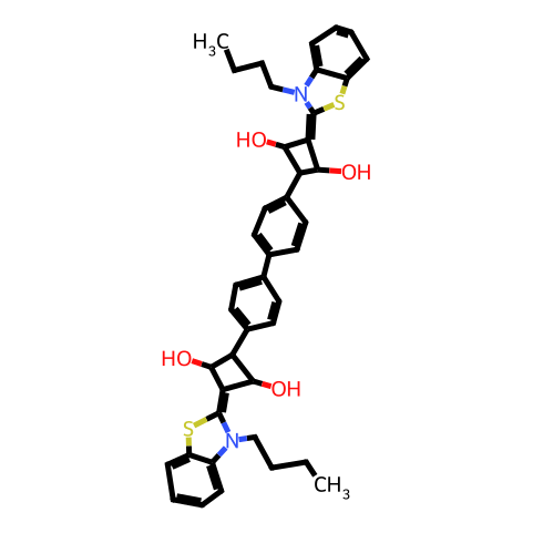 CCCCN1C(=C2C(O)C(c3ccc(-c4ccc(C5C(O)C(=C6Sc7ccccc7N6CCCC)C5O)cc4)cc3)C2O)Sc2ccccc21